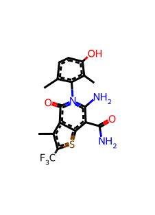 Cc1ccc(O)c(C)c1-n1c(N)c(C(N)=O)c2sc(C(F)(F)F)c(C)c2c1=O